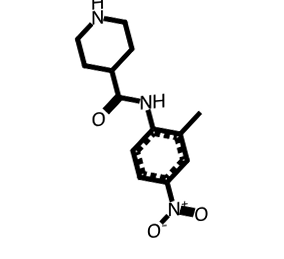 Cc1cc([N+](=O)[O-])ccc1NC(=O)C1CCNCC1